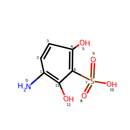 Nc1ccc(O)c(S(=O)(=O)O)c1O